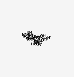 [N-]=[N+]=NCC1OC(OP(=O)(O)OP(=O)(O)OCC2OC(n3cnc4c(=O)[nH]c(N)nc43)C(O)C2O)C(O)C(O)C1O